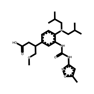 COCC(CC(=O)O)c1ccc(N(CC(C)C)CC(C)C)c(NC(=O)Nc2cc(C)on2)c1